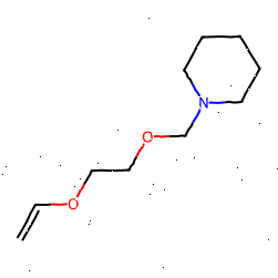 C=COCCOCN1CCCCC1